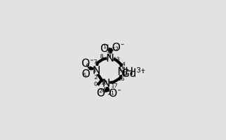 CC1CN(C(=O)[O-])CCN(C(=O)[O-])CCNCCN1C(=O)[O-].[Gd+3]